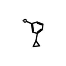 [O]c1cccc(C2CC2)c1